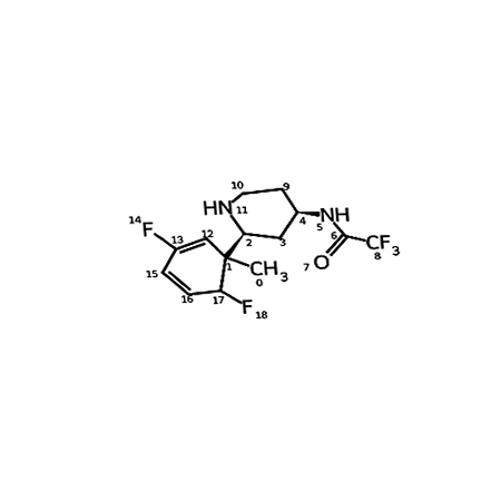 CC1([C@@H]2C[C@H](NC(=O)C(F)(F)F)CCN2)C=C(F)C=CC1F